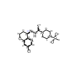 CS(=O)(=O)N1CCN(C(=S)N/N=C2/CCOc3cc(Cl)cnc32)CC1